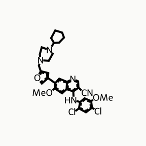 COc1cc(Nc2c(C#N)cnc3cc(-c4coc(CN5CCN(C6CCCCC6)CC5)c4)c(OC)cc23)c(Cl)cc1Cl